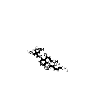 C=C/C=C\C(Cl)=C(/Cl)n1c(C)cc(=O)c2c(OCC(CO)(CO)CO)cnc(Cl)c21